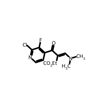 CCOC(=O)/C(=C\N(C)C)C(=O)c1ccnc(Cl)c1F